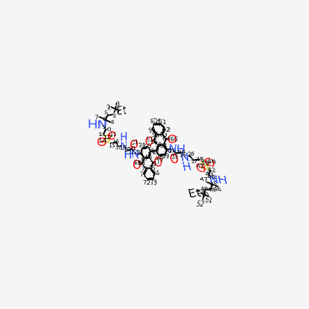 CCC(C)(C)CCC(C)(C)NCCS(=O)(=O)CCCNCC(=O)Nc1ccc(-c2ccc(NC(=O)CNCCCS(=O)(=O)CCNC(C)(C)CCC(C)(C)CC)c3c2C(=O)c2ccccc2C3=O)c2c1C(=O)c1ccccc1C2=O